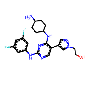 NC1CCC(Nc2nc(Nc3cc(F)cc(F)c3)ncc2-c2cnn(CCO)c2)CC1